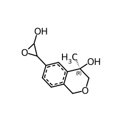 C[C@]1(O)COCc2ccc(C3OC3O)cc21